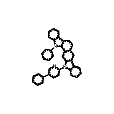 c1ccc(-c2ccc(-n3c4ccccc4c4cc5ccc6c7ccccc7n(-c7ccccc7)c6c5cc43)nc2)cc1